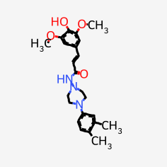 COc1cc(C=CC(=O)NN2CCN(c3ccc(C)c(C)c3)CC2)cc(OC)c1O